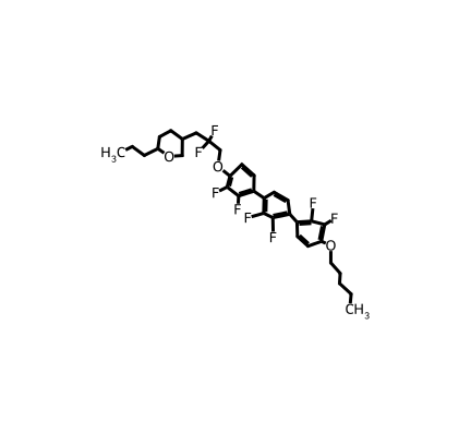 CCCCCOc1ccc(-c2ccc(-c3ccc(OCC(F)(F)CC4CCC(CCC)OC4)c(F)c3F)c(F)c2F)c(F)c1F